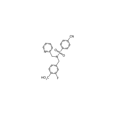 N#Cc1ccc(S(=O)(=O)N(Cc2ccc(C(=O)O)c(F)c2)Cc2ccccn2)cc1